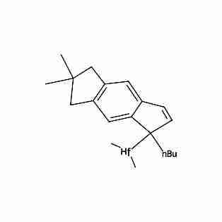 CCCC[C]1([Hf]([CH3])[CH3])C=Cc2cc3c(cc21)CC(C)(C)C3